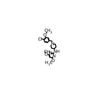 CCOc1cc(CN2CCC(Nc3nc(OC)cc(OC)n3)CC2)ccc1Cl